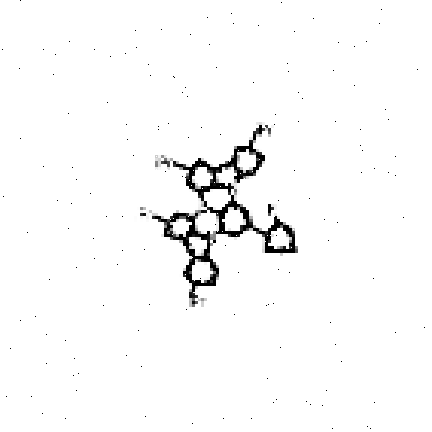 CC(C)c1ccc2c(c1)c1cc(C(C)C)cc3c1n2-c1cc(-c2ccccc2F)cc2c1B3c1cc(C(C)C)cc3c4cc(C(C)C)ccc4n-2c13